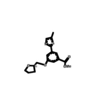 COC(=O)c1cc(OC[C@H]2CCCO2)cc(-c2ncc(C)s2)c1